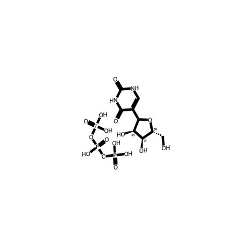 O=P(O)(O)OP(=O)(O)OP(=O)(O)O.O=c1[nH]cc(C2O[C@H](CO)[C@@H](O)[C@H]2O)c(=O)[nH]1